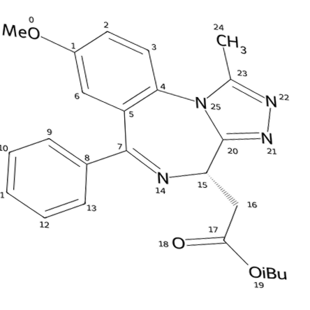 COc1ccc2c(c1)C(c1ccccc1)=N[C@@H](CC(=O)OCC(C)C)c1nnc(C)n1-2